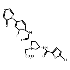 CCOC(=O)CN1C[C@@H](NC(=O)c2ccc(Cl)s2)C[C@H]1C(=O)Nc1ccc(-n2ccncc2=O)cc1F